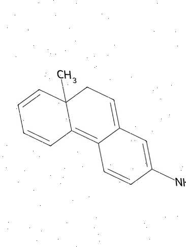 CC12C=CC=CC1=c1ccc(N)cc1=CC2